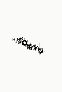 NS(=O)(=O)c1ccc(-c2cn(CC(=O)Nc3nccs3)nn2)cc1